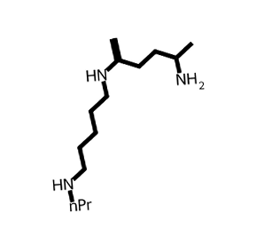 C=C(CCC(C)N)NCCCCCNCCC